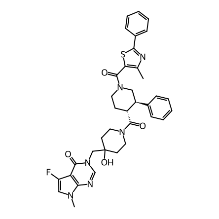 Cc1nc(-c2ccccc2)sc1C(=O)N1CC[C@@H](C(=O)N2CCC(O)(Cn3cnc4c(c(F)cn4C)c3=O)CC2)[C@H](c2ccccc2)C1